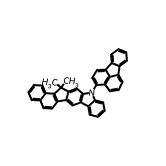 CC1(C)c2cc3c(cc2-c2ccc4ccccc4c21)c1ccccc1n3-c1ccc2c3c(cccc13)-c1ccccc1-2